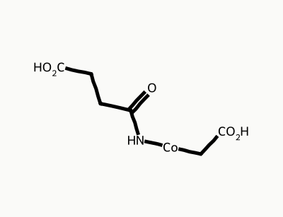 O=C(O)CCC(=O)[NH][Co][CH2]C(=O)O